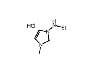 CCNN1C=CN(C)C1.Cl